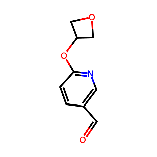 O=Cc1ccc(OC2COC2)nc1